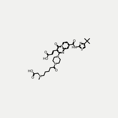 CN(CCCCC(=O)N1CCN(c2nc3cc(C(=O)Nc4nc(C(C)(C)C)cs4)ccn3c(=O)c2/C=C/C(=O)O)CC1)CC(=O)O